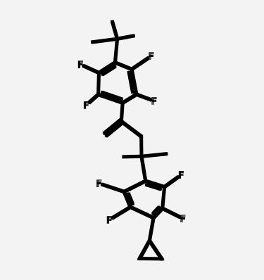 C=C(CC(C)(C)c1c(F)c(F)c(C2CC2)c(F)c1F)c1c(F)c(F)c(C(C)(C)C)c(F)c1F